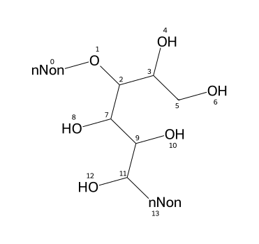 CCCCCCCCCOC(C(O)CO)C(O)C(O)C(O)CCCCCCCCC